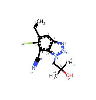 C=Cc1cc2nnn(CC(C)(C)O)c2c(C#N)c1F